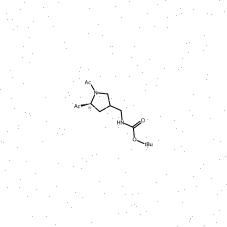 CC(=O)[C@@H]1CC(CNC(=O)OC(C)(C)C)CN1C(C)=O